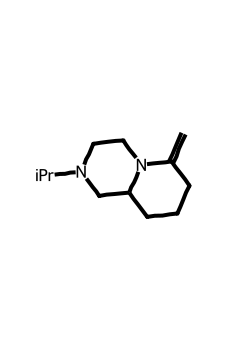 C=C1CCCC2CN(C(C)C)CCN12